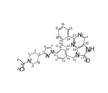 CC(=O)N1CCC(c2ccn(-c3ccc(Cn4c(=O)[nH]c5cnc(-c6ccccc6C(C)C)nc54)cc3)n2)CC1